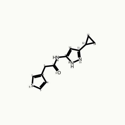 O=C(Cc1ccsc1)Nc1cc(C2CC2)n[nH]1